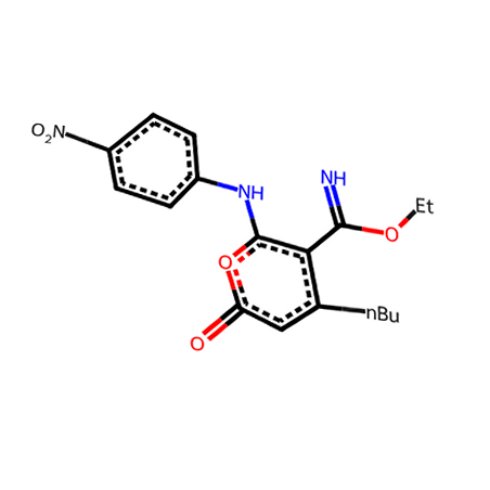 CCCCc1cc(=O)oc(Nc2ccc([N+](=O)[O-])cc2)c1C(=N)OCC